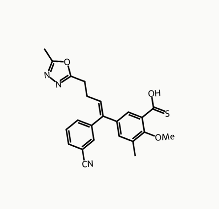 COc1c(C)cc(C(=CCCc2nnc(C)o2)c2cccc(C#N)c2)cc1C(O)=S